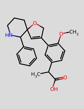 COc1ccc(C(C)C(=O)O)cc1C1=CC2(CCCNC2c2ccccc2)OC1